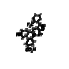 CC(C)c1onc(-c2ccccc2C(F)(F)F)c1CC(Oc1ccc(C(=O)O)cc1)C1CCNCC1